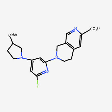 COC1CCN(c2cc(F)nc(N3CCc4cc(C(=O)O)ncc4C3)c2)C1